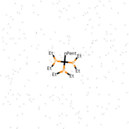 CCCCCC(P(CC)CC)(P(CC)CC)P(CC)CC